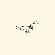 CCCCC(C#N)(C[n+]1cn(COC(C)=O)cn1)c1ccc(Cl)cc1.[Br-]